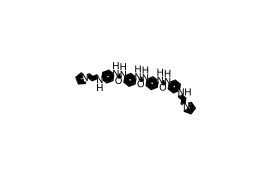 O=C(Nc1ccc(NCCCN2CCCC2)cc1)Nc1cccc(NC(=O)Nc2cccc(NC(=O)Nc3ccc(NCCCN4CCCC4)cc3)c2)c1